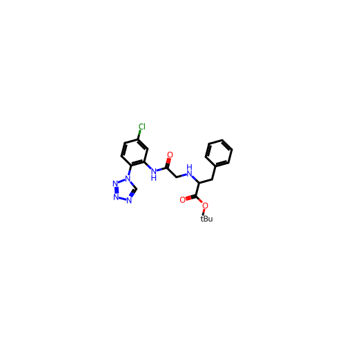 CC(C)(C)OC(=O)C(Cc1ccccc1)NCC(=O)Nc1cc(Cl)ccc1-n1cnnn1